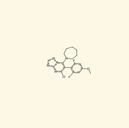 COc1cc(F)c(-c2c(Cl)nc3ncnn3c2N2CCCCCC2)c(F)c1